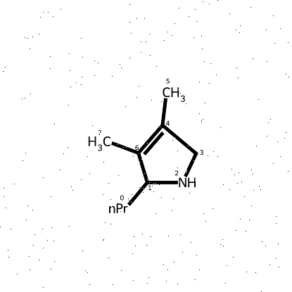 C[CH]CC1NCC(C)=C1C